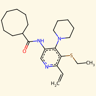 C=Cc1ncc(NC(=O)C2CCCCCCC2)c(N2CCCCC2)c1SCC